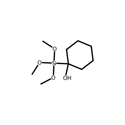 CO[Si](OC)(OC)C1(O)CCCCC1